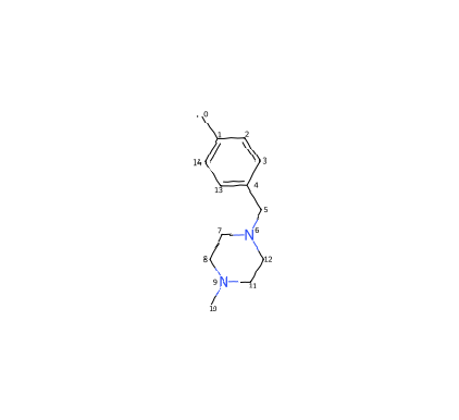 [CH2]c1ccc(CN2CCN(C)CC2)cc1